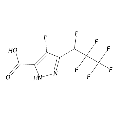 O=C(O)c1[nH]nc(C(F)C(F)(F)C(F)(F)F)c1F